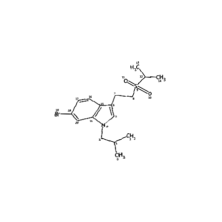 CC(C)Cn1cc(CCS(=O)(=O)C(C)C)c2ccc(Br)cc21